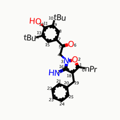 CCCc1on(CC(=O)c2cc(C(C)(C)C)c(O)c(C(C)(C)C)c2)c(=N)c1Cc1ccccc1